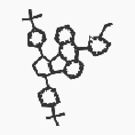 CCc1cccc(-c2c3ccccc3c3c4c(cccc24)C2=C3C(c3ccc(C(C)(C)C)cc3)CC=C2c2ccc(C(C)(C)C)cc2)n1